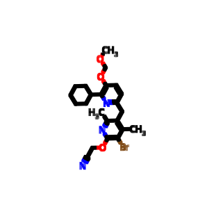 COCOc1ccc(Cc2c(C)nc(OCC#N)c(Br)c2C)nc1C1CCCCC1